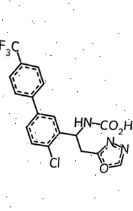 O=C(O)NC(Cc1nnco1)c1cc(-c2ccc(C(F)(F)F)cc2)ccc1Cl